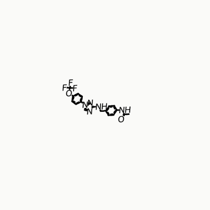 CC(=O)Nc1ccc(CNc2ncn(-c3ccc(OC(F)(F)F)cc3)n2)cc1